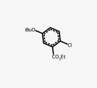 CCOC(=O)c1cc(OCC(C)C)ccc1Cl